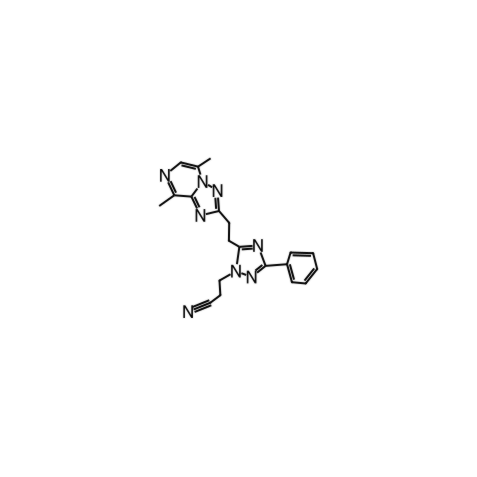 Cc1ncc(C)n2nc(CCc3nc(-c4ccccc4)nn3CCC#N)nc12